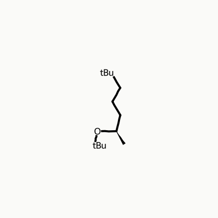 C[C@H](CCCC(C)(C)C)OC(C)(C)C